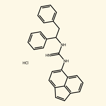 Cl.N=C(Nc1ccc2c3c(cccc13)C=C2)NC(Cc1ccccc1)c1ccccc1